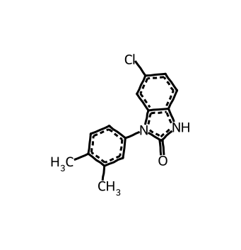 Cc1ccc(-n2c(=O)[nH]c3ccc(Cl)cc32)cc1C